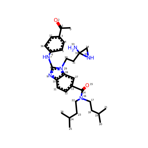 CC(=O)c1ccc(Nc2nc3ccc(C(=O)N(CCC(C)C)CCC(C)C)cc3n2CCC2(N)CN2)cc1